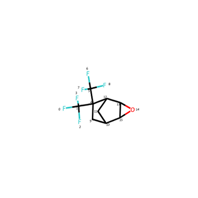 FC(F)(F)C1(C(F)(F)F)CC2CC1C1OC21